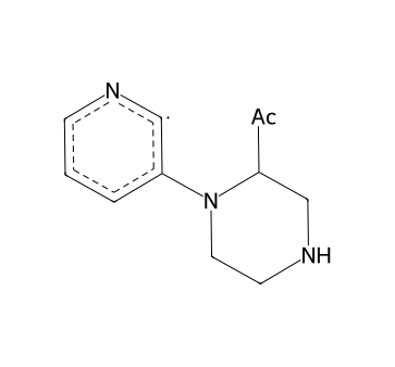 CC(=O)C1CNCCN1c1[c]nccc1